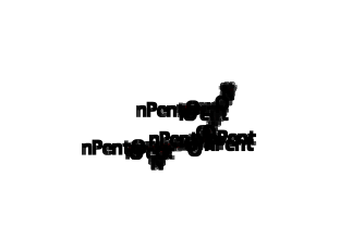 CCCCCC(CCCCC)CC(=O)OCCCCCCCCC(CCCCCCCCOC(=O)CC(CCCCC)CC(CCC)C(C(=O)OCCCCCCCCC(CCCCCCCCOC(=O)CC(CCCCC)CCCCC)COCCCN1CCCC1)C(CCCCC)CCCCC)COCCCN(C)C